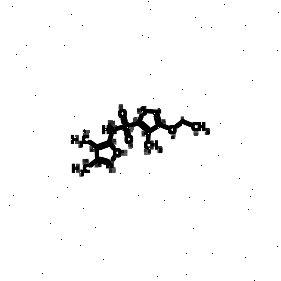 CCOc1csc(S(=O)(=O)Nc2onc(C)c2C)c1C